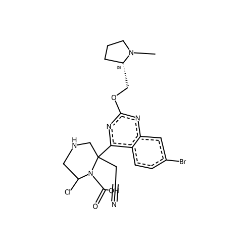 CN1CCC[C@H]1COc1nc(C2(CC#N)CNCC(Cl)N2C(=O)O)c2ccc(Br)cc2n1